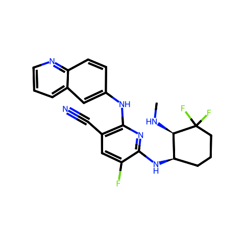 CN[C@@H]1[C@H](Nc2nc(Nc3ccc4ncccc4c3)c(C#N)cc2F)CCCC1(F)F